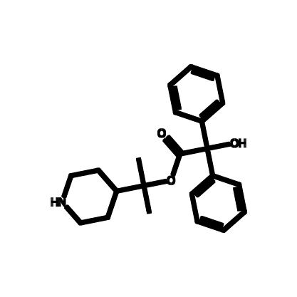 CC(C)(OC(=O)C(O)(c1ccccc1)c1ccccc1)C1CCNCC1